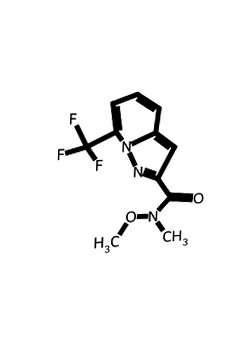 CON(C)C(=O)c1cc2cccc(C(F)(F)F)n2n1